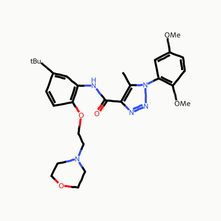 COc1ccc(OC)c(-n2nnc(C(=O)Nc3cc(C(C)(C)C)ccc3OCCN3CCOCC3)c2C)c1